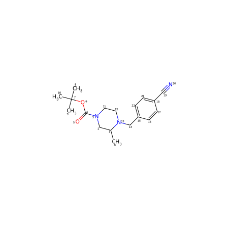 CC1CN(C(=O)OC(C)(C)C)CCN1Cc1ccc(C#N)cc1